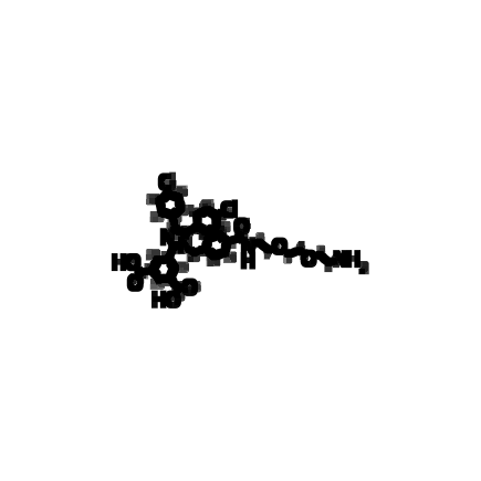 NCCOCCOCCNC(=O)c1ccc(Cn2c(-c3cc(C(=O)O)cc(C(=O)O)c3)nc(-c3ccc(Cl)cc3)c2-c2ccc(Cl)cc2)cc1